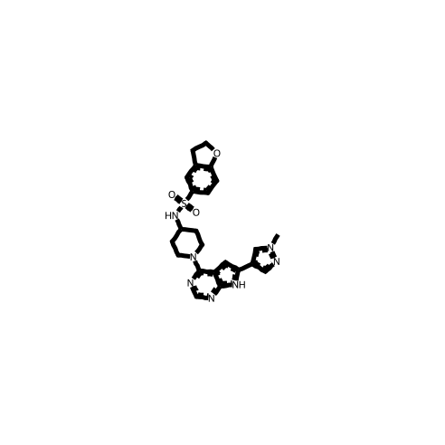 Cn1cc(-c2cc3c(N4CCC(NS(=O)(=O)c5ccc6c(c5)CCO6)CC4)ncnc3[nH]2)cn1